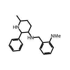 CNc1ccccc1CNC1CCC(C)NC1c1ccccc1